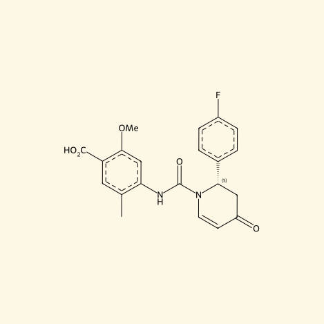 COc1cc(NC(=O)N2C=CC(=O)C[C@H]2c2ccc(F)cc2)c(C)cc1C(=O)O